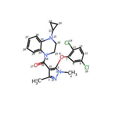 Cc1nn(C)c(Oc2cc(Cl)ccc2Cl)c1C(=O)N1CCN(C2CC2)c2ccccc21